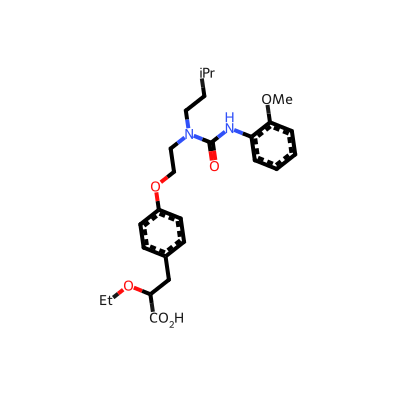 CCOC(Cc1ccc(OCCN(CCC(C)C)C(=O)Nc2ccccc2OC)cc1)C(=O)O